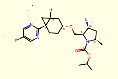 CC(C)OC(=O)N1[C@H](C)C[C@H](N)[C@@H]1CO[C@@H]1CC[C@]2(c3ncc(F)cn3)C[C@@H]2C1